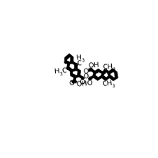 Cc1c2ccccc2c(C)c2cc(C(=O)OC(=O)c3cc4c(C)c5ccccc5c(C)c4cc3C(=O)O)c(C(=O)O)cc12